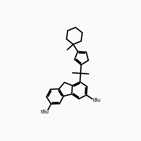 CC1(C2=CCC(C(C)(C)c3cc(C(C)(C)C)cc4c3Cc3ccc(C(C)(C)C)cc3-4)=C2)CCCCC1